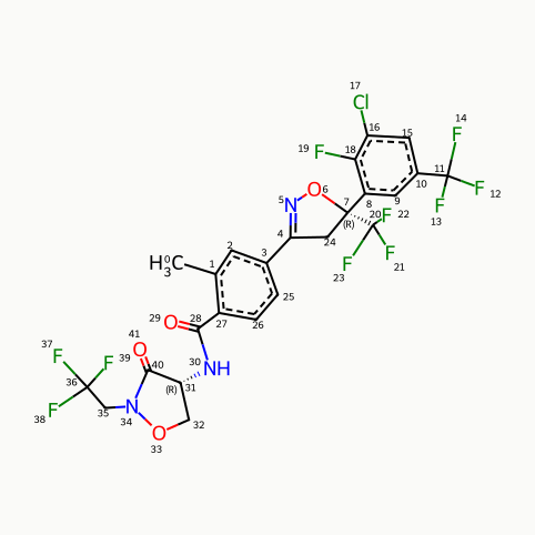 Cc1cc(C2=NO[C@](c3cc(C(F)(F)F)cc(Cl)c3F)(C(F)(F)F)C2)ccc1C(=O)N[C@@H]1CON(CC(F)(F)F)C1=O